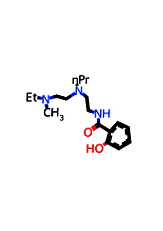 CCCN(CCNC(=O)c1ccccc1O)CCN(C)CC